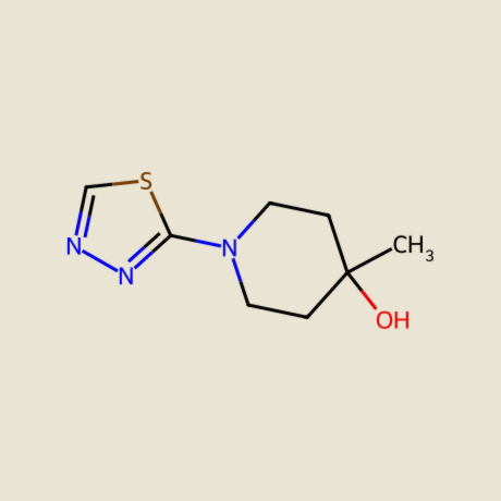 CC1(O)CCN(c2nncs2)CC1